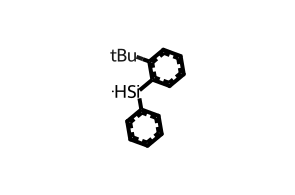 CC(C)(C)c1ccccc1[SiH]c1ccccc1